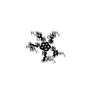 CN1C(N)=NC(=O)CC1c1cn(-c2cc3c(-n4cc(-c5cn(C)c(N)nc5=O)nn4)cc4c(-n5cc(-c6cn(C)c(N)nc6=O)nn5)cc5c(-n6cc(-c7cc(=O)[nH]c(N)n7)nn6)cc6c(-n7cc(-c8cc(=O)nc(N)[nH]8)nn7)cc2c2c6c5c4c32)nn1